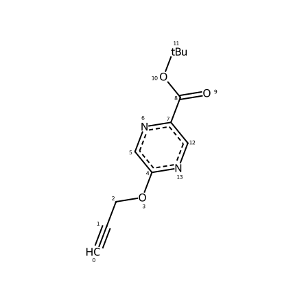 C#CCOc1cnc(C(=O)OC(C)(C)C)cn1